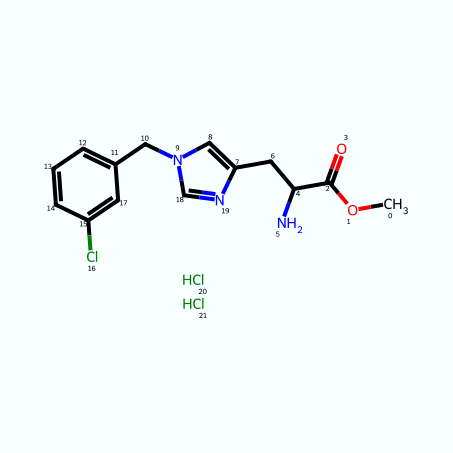 COC(=O)C(N)Cc1cn(Cc2cccc(Cl)c2)cn1.Cl.Cl